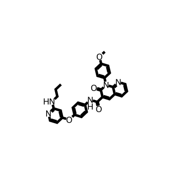 CCCNc1cc(Oc2ccc(NC(=O)c3cc4cccnc4n(-c4ccc(OC)cc4)c3=O)cc2)ccn1